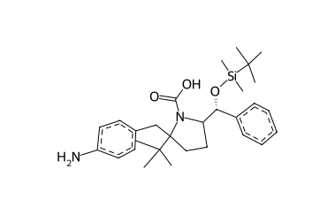 CC(C)(C)C1(Cc2ccc(N)cc2)CCC([C@H](O[Si](C)(C)C(C)(C)C)c2ccccc2)N1C(=O)O